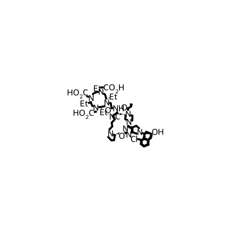 C=CC(=O)N1CCN(c2nc(OC[C@@H]3CCCN3CCCCCCNC(=O)CN3C[C@H](CC)N(CC(=O)O)CC(CC)N(CC(=O)O)C[C@H](CC)N(CC(=O)O)C[C@@H]3CC)nc3c2CCN(c2cc(O)cc4cccc(Cl)c24)C3)C[C@@H]1CC#N